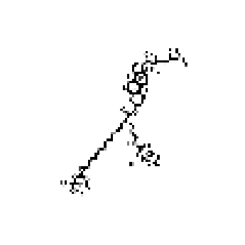 CC(C)CCC[C@@H](C)[C@H]1CC[C@H]2[C@@H]3CC=C4C[C@@H](OC(=O)N(CCCCCCCCCCNC(=O)OC(C)(C)C)CCCNC(=O)OC(C)(C)C)CC[C@]4(C)[C@H]3CC[C@]12C